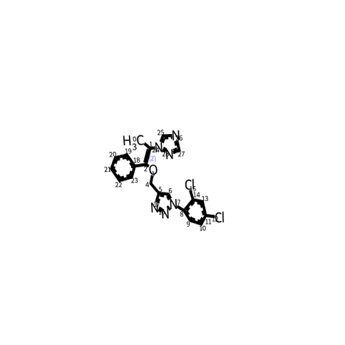 C/C(=C(/OCc1cn(-c2ccc(Cl)cc2Cl)nn1)c1ccccc1)n1cncn1